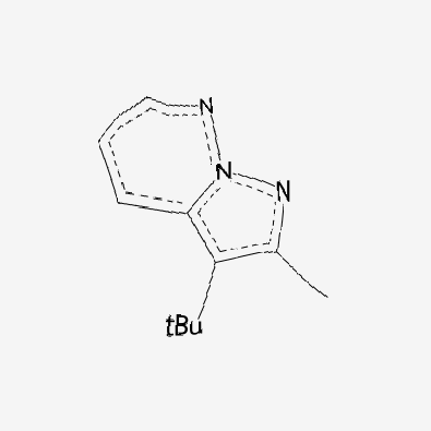 Cc1nn2ncccc2c1C(C)(C)C